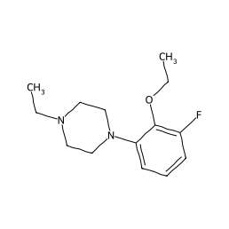 CCOc1c(F)cccc1N1CCN(CC)CC1